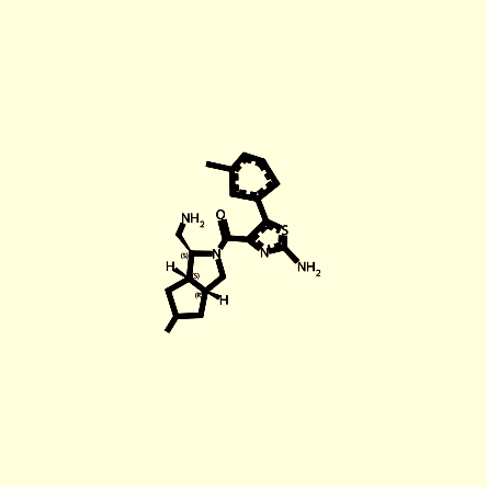 Cc1cccc(-c2sc(N)nc2C(=O)N2C[C@@H]3CC(C)C[C@@H]3[C@H]2CN)c1